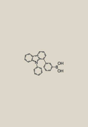 OB(O)c1cccc(-c2cccc3c4ccccc4n(-c4ccccc4)c23)c1